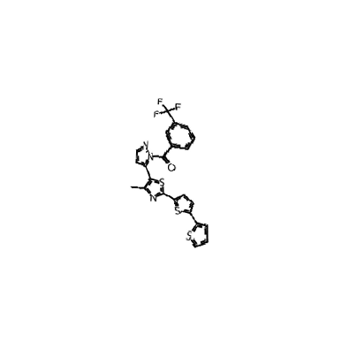 Cc1nc(-c2ccc(-c3cccs3)s2)sc1-c1ccnn1C(=O)c1cccc(C(F)(F)F)c1